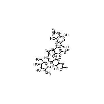 CC(=O)NC1C(O)[C@H](O[C@@H]2OC(CO)[C@@H](O)C(O)C2N)C(CO)O[C@H]1O[C@@H]1C(CO)O[C@@H](O[C@@H]2C(CO)O[C@H](O)C(NC(C)=O)C2O)C(NC(C)=O)C1O